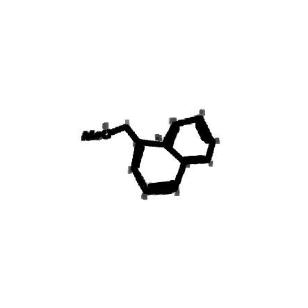 [C]OCc1cccc2ccccc12